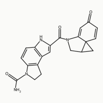 NC(=O)N1CCc2c1ccc1[nH]c(C(=O)N3CC4CC45C=CC(=O)C=C35)cc21